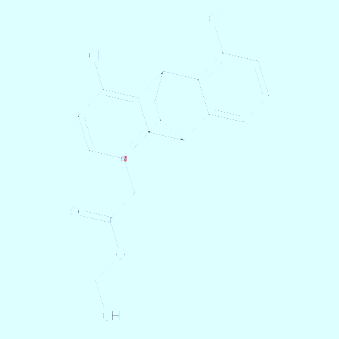 CCOC(=O)CCC1CC2c3c(Cl)cccc3C1c1cccc(Cl)c12